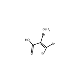 O=C(O)C(Br)=C(Br)Br.[GaH3]